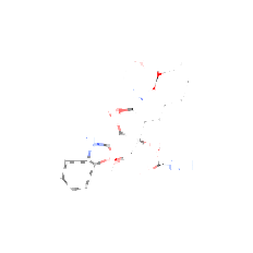 CCC[C@@](OC(N)=O)(C(=O)c1nc2ccccc2o1)C(CC1CCCCC1)C(=O)N1CCOCC1